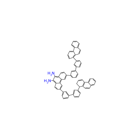 Nc1c(N)c2ccc(-c3cccc(-c4cccc(C5CC=Cc6c5ccc5ccccc65)c4)c3)cc2c2cc(-c3cccc(-c4cccc(-c5cccc6c5ccc5ccccc56)c4)c3)ccc12